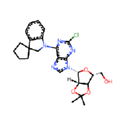 CC1(C)OC2[C@@H](CO)O[C@@H](n3cnc4c(N5CC6(CCCC6)c6ccccc65)nc(Cl)nc43)[C@H]2O1